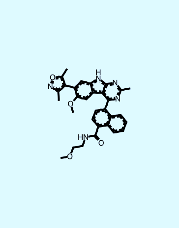 COCCNC(=O)c1ccc(-c2nc(C)nc3[nH]c4cc(-c5c(C)noc5C)c(OC)cc4c23)c2ccccc12